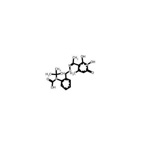 CC(=NOCc1ccccc1N(C(=O)O)C(C)(C)C)c1c(C)cc(=O)n(O)c1O